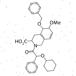 COC1C=CC2=C(CC(C(=O)O)N(C(=O)C(OC3CCCCC3)c3ccccc3)C2)C1OCc1ccccc1